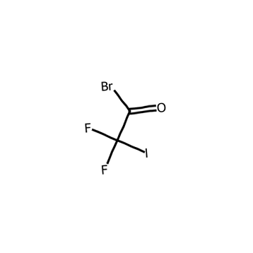 O=C(Br)C(F)(F)I